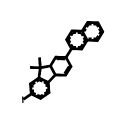 CC1(C)c2cc(I)ccc2C2C=CC(c3ccc4ccccc4c3)=CC21